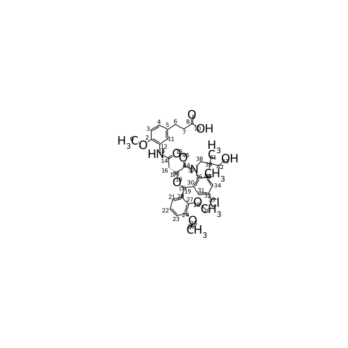 COc1ccc(CCC(=O)O)cc1NC(=O)C[C@H]1O[C@H](c2cccc(OC)c2OC)c2cc(Cl)ccc2N(CC(C)(C)CO)C1=O